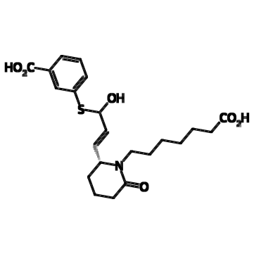 O=C(O)CCCCCCN1C(=O)CCC[C@@H]1/C=C/C(O)Sc1cccc(C(=O)O)c1